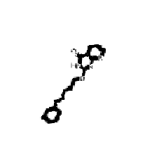 O=c1[nH]c(OCCCCCc2ccccc2)nc2ncccc12